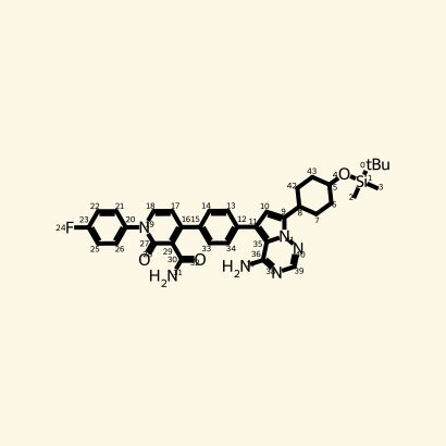 CC(C)(C)[Si](C)(C)OC1CCC(c2cc(-c3ccc(-c4ccn(-c5ccc(F)cc5)c(=O)c4C(N)=O)cc3)c3c(N)ncnn23)CC1